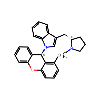 Cc1cccc2c1[C@H](n1cc(C[C@@H]3CCCN3C)c3ccccc31)c1ccccc1O2